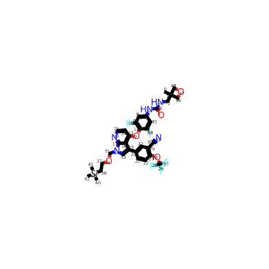 CC1(CNC(=O)Nc2cc(F)c(Oc3ccnc4c3c(-c3ccc(OC(F)(F)F)c(C#N)c3)cn4COCC[Si](C)(C)C)c(F)c2)COC1